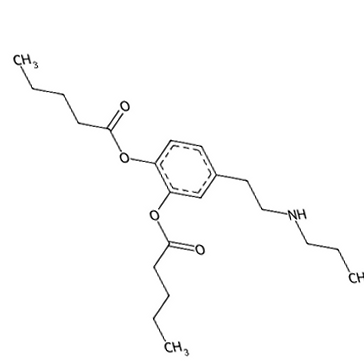 CCCCC(=O)Oc1ccc(CCNCCC)cc1OC(=O)CCCC